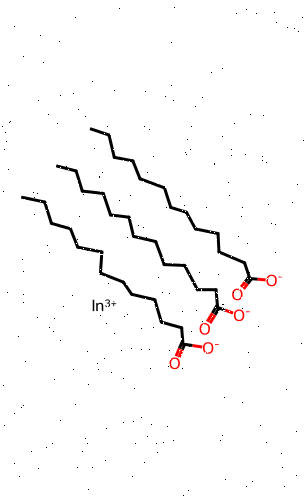 CCCCCCCCCCCCC(=O)[O-].CCCCCCCCCCCCC(=O)[O-].CCCCCCCCCCCCC(=O)[O-].[In+3]